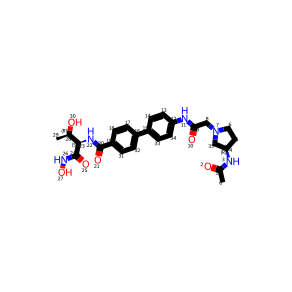 CC(=O)N[C@@H]1CCN(CC(=O)Nc2ccc(-c3ccc(C(=O)N[C@H](C(=O)NO)[C@@H](C)O)cc3)cc2)C1